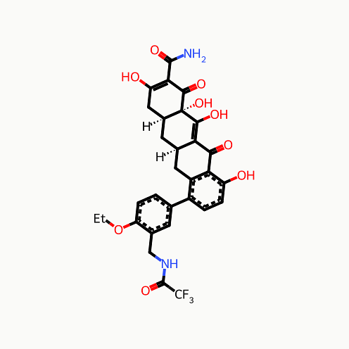 CCOc1ccc(-c2ccc(O)c3c2C[C@H]2C[C@H]4CC(O)=C(C(N)=O)C(=O)[C@@]4(O)C(O)=C2C3=O)cc1CNC(=O)C(F)(F)F